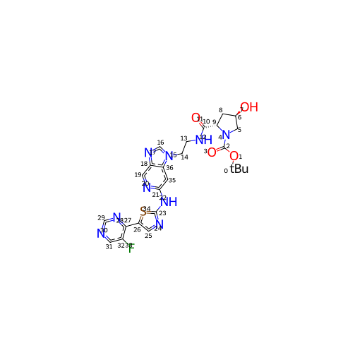 CC(C)(C)OC(=O)N1C[C@H](O)C[C@H]1C(=O)NCCn1cnc2cnc(Nc3ncc(-c4ncncc4F)s3)cc21